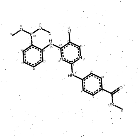 CNC(=O)c1ccc(Nc2ncc(Cl)c(Nc3ccccc3P(OC)OC)n2)cc1